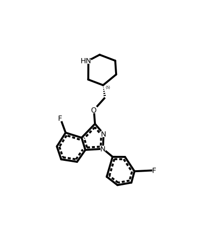 Fc1cccc(-n2nc(OC[C@H]3CCCNC3)c3c(F)cccc32)c1